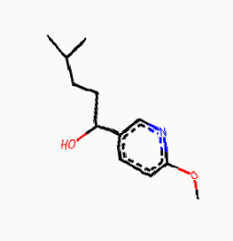 COc1ccc(C(O)CCC(C)C)cn1